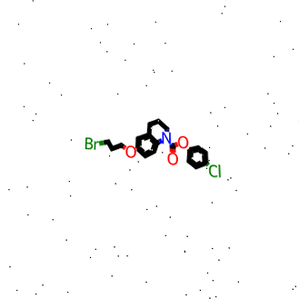 O=C(Oc1ccc(Cl)cc1)N1CCCc2cc(OCCCBr)ccc21